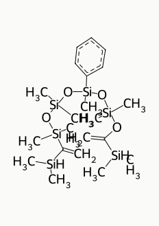 C=C(O[Si](C)(C)O[Si](C)(O[Si](C)(C)O[Si](C)(C)C(=C)[SiH](C)C)c1ccccc1)[SiH](C)C